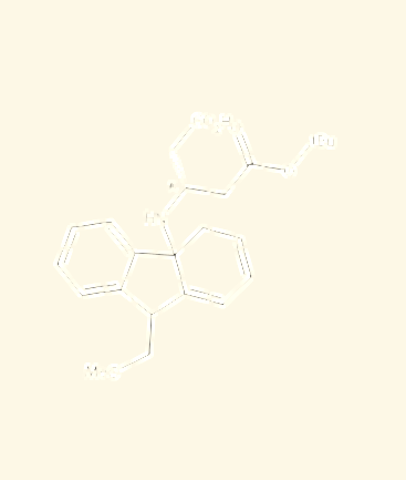 COCC1C2=CC=CCC2(N[C@H](CC(=O)O)CC(=O)OC(C)(C)C)c2ccccc21